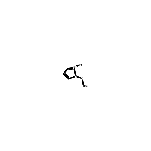 CC(C)[n+]1cccn1OC(C)(C)C